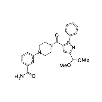 COC(OC)c1cc(C(=O)N2CCN(c3cccc(C(N)=O)c3)CC2)n(-c2ccccc2)n1